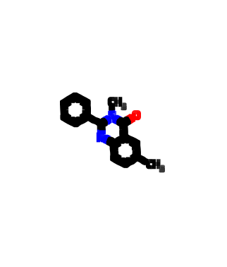 Cc1ccc2nc(-c3ccccc3)n(C)c(=O)c2c1